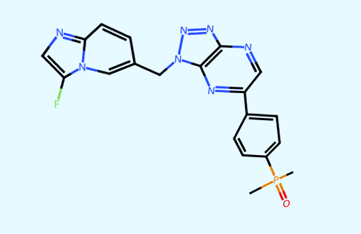 CP(C)(=O)c1ccc(-c2cnc3nnn(Cc4ccc5ncc(F)n5c4)c3n2)cc1